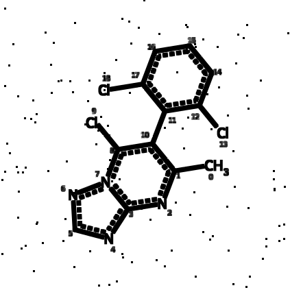 Cc1nc2ncnn2c(Cl)c1-c1c(Cl)cccc1Cl